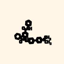 CN(C)c1ccc(-c2ccc(CNC(=O)C3(c4cccc(C(=O)Nc5ccccc5)c4)CCCCC3)cc2)cc1